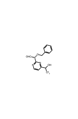 O=CN(OCc1ccccc1)c1nccc(C(O)C(F)(F)F)n1